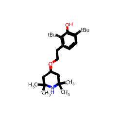 CC1(C)CC(OCCc2ccc(C(C)(C)C)c(O)c2C(C)(C)C)CC(C)(C)N1